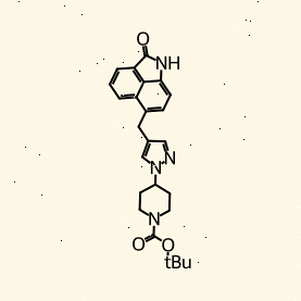 CC(C)(C)OC(=O)N1CCC(n2cc(Cc3ccc4c5c(cccc35)C(=O)N4)cn2)CC1